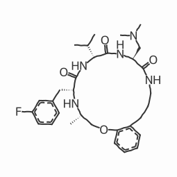 CC(C)[C@H]1NC(=O)[C@@H](Cc2cccc(F)c2)N[C@@H](C)COc2ccccc2CCCNC(=O)[C@H](CN(C)C)NC1=O